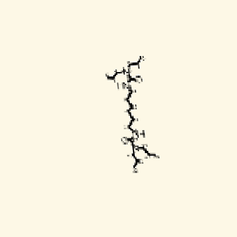 CCCN(CCC)C(=O)NCCCCCCNC(=O)N(CCC)CCC